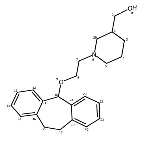 OCC1CCCN(CCOC2c3ccccc3CCc3ccccc32)C1